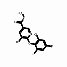 COC(=O)c1cnc(Oc2c(Cl)cc(F)cc2Cl)c(Br)c1